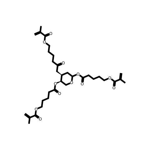 C=C(C)C(=O)OCCCCC(=O)C[C@H]1CC(OC(=O)CCCCOC(=O)C(=C)C)OC[C@H]1OC(=O)CCCCOC(=O)C(=C)C